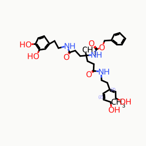 CC(O)/C=C\C(=C/CO)CCNC(=O)CCC(C)(CCC(=O)NCCc1ccc(O)c(O)c1)NC(=O)OCc1ccccc1